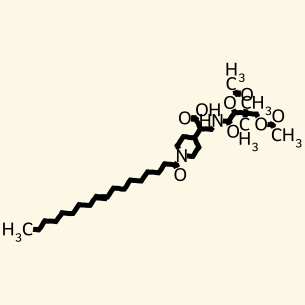 CCCCCCCCC=CCCCCCCCC(=O)N1CCC(C(CNC(=O)C(OC(C)=O)C(C)(C)COC(C)=O)C(=O)O)CC1